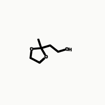 CC1(CCO)OCCO1